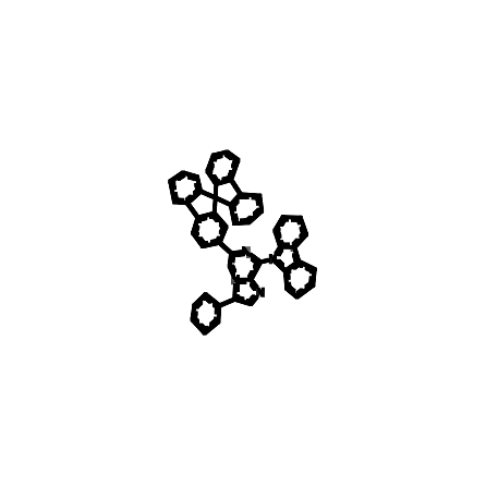 c1ccc(-c2cnc3c(-n4c5ccccc5c5ccccc54)nc(-c4ccc5c(c4)C4(c6ccccc6-c6ccccc64)c4ccccc4-5)cn23)cc1